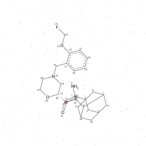 NC(=O)C12CC3CC(C1)C(NC(=O)[C@H]1CN(Cc4ccccc4OCF)CCO1)C(C3)C2